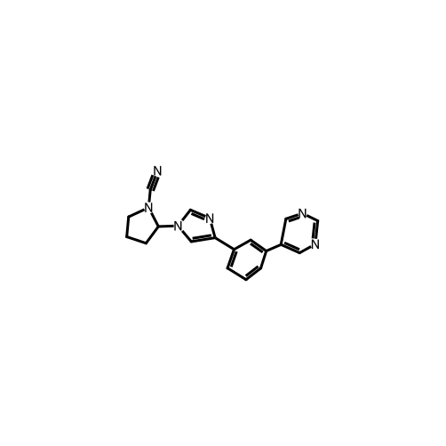 N#CN1CCCC1n1cnc(-c2cccc(-c3cncnc3)c2)c1